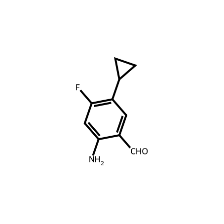 Nc1cc(F)c(C2CC2)cc1C=O